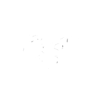 COc1ccc2c(OCC[C@@H]3NC(=O)N(C)CCCC/C=C\C4C[C@@]4(C(=O)O)NC3=O)cc(C3CSC(NC(C)C)=N3)nc2c1